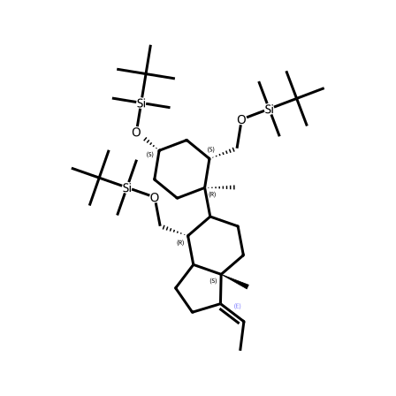 C/C=C1\CCC2[C@H](CO[Si](C)(C)C(C)(C)C)C([C@@]3(C)CC[C@H](O[Si](C)(C)C(C)(C)C)C[C@@H]3CO[Si](C)(C)C(C)(C)C)CC[C@]12C